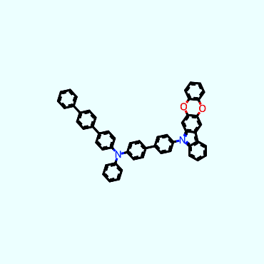 c1ccc(-c2ccc(-c3ccc(N(c4ccccc4)c4ccc(-c5ccc(-n6c7ccccc7c7cc8c(cc76)Oc6ccccc6O8)cc5)cc4)cc3)cc2)cc1